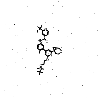 Cc1ccc(NC(=O)c2ccnc(C(C)(F)F)c2)cc1-c1cc(OCCO[Si](C)(C)C(C)(C)C)nc(C23CCOCC2C3)c1